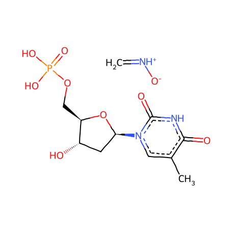 C=[NH+][O-].Cc1cn([C@H]2C[C@H](O)[C@@H](COP(=O)(O)O)O2)c(=O)[nH]c1=O